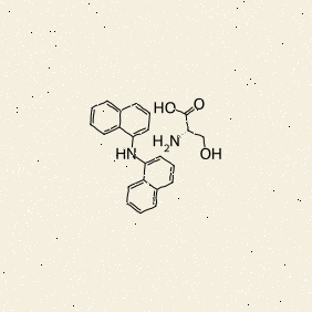 N[C@@H](CO)C(=O)O.c1ccc2c(Nc3cccc4ccccc34)cccc2c1